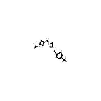 O=C1N[C@]2(CO1)C[C@H](C(=O)N1CC(OCc3ccc(C(F)(F)F)cc3F)C1)C2